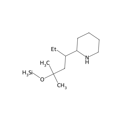 CCC(CC(C)(C)O[SiH3])C1CCCCN1